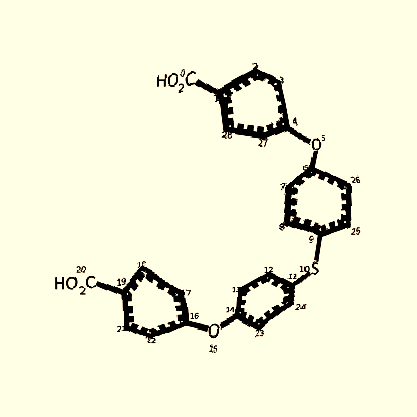 O=C(O)c1ccc(Oc2ccc(Sc3ccc(Oc4ccc(C(=O)O)cc4)cc3)cc2)cc1